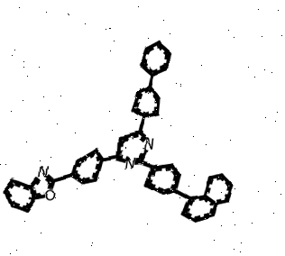 c1ccc(-c2ccc(-c3cc(-c4ccc(-c5nc6ccccc6o5)cc4)nc(-c4ccc(-c5cccc6ccccc56)cc4)n3)cc2)cc1